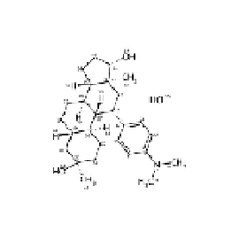 CN(C)c1ccc([C@H]2C[C@]3(C)[C@@H](O)CC[C@H]3[C@@H]3CC[C@H]4C[C@](C)(O)CC[C@@H]4[C@H]32)cc1.Cl